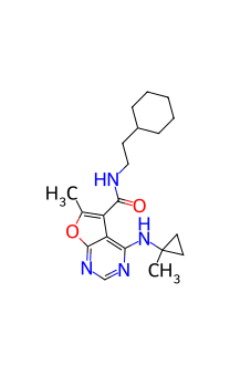 Cc1oc2ncnc(NC3(C)CC3)c2c1C(=O)NCCC1CCCCC1